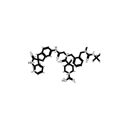 CN(Cc1ccccc1CN(CC(=O)Nc1ccc2c(c1)CC1(C2)C(=O)Nc2ncccc21)C(=O)C1(C)CCN(C(=O)O)CC1)C(=O)OC(C)(C)C